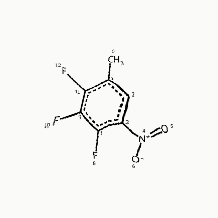 Cc1cc([N+](=O)[O-])c(F)c(F)c1F